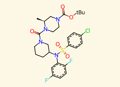 C[C@H]1CN(C(=O)OC(C)(C)C)CCN1C(=O)N1CCCC(N(c2cc(F)ccc2F)S(=O)(=O)c2ccc(Cl)cc2)C1